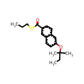 CCCSC(=O)c1ccc2cc(OC(C)(C)CC)ccc2c1